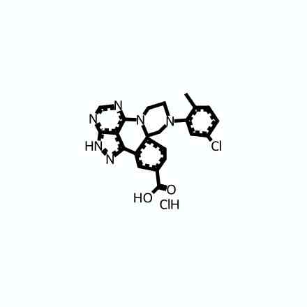 Cc1ccc(Cl)cc1N1CCN(c2ncnc3[nH]nc(-c4cccc(C(=O)O)c4)c23)CC1.Cl